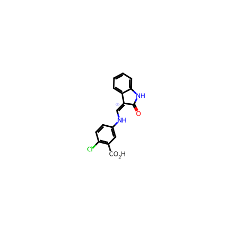 O=C1Nc2ccccc2/C1=C/Nc1ccc(Cl)c(C(=O)O)c1